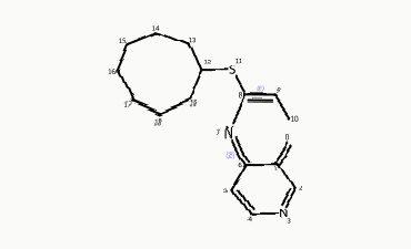 C=C1C=NC=C/C1=N/C(=C\C)SC1CCCCCCC1